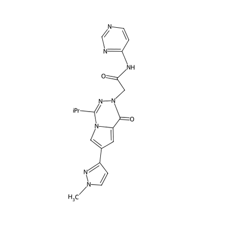 CC(C)c1nn(CC(=O)Nc2ccncn2)c(=O)c2cc(-c3ccn(C)n3)cn12